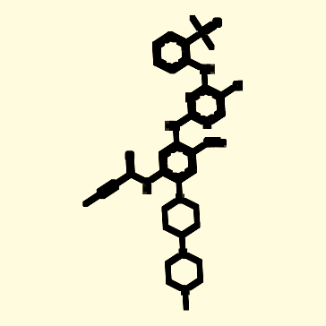 CC#CC(=O)Nc1cc(Nc2ncc(Cl)c(Nc3ccccc3P(C)(C)=O)n2)c(OC)cc1N1CCC(N2CCN(C)CC2)CC1